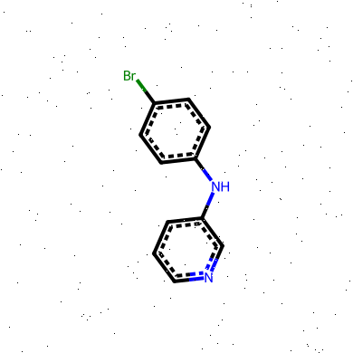 Brc1ccc(Nc2cccnc2)cc1